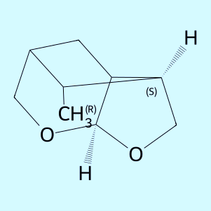 CC1C2CO[C@@H]3OC[C@@H]1C3C2